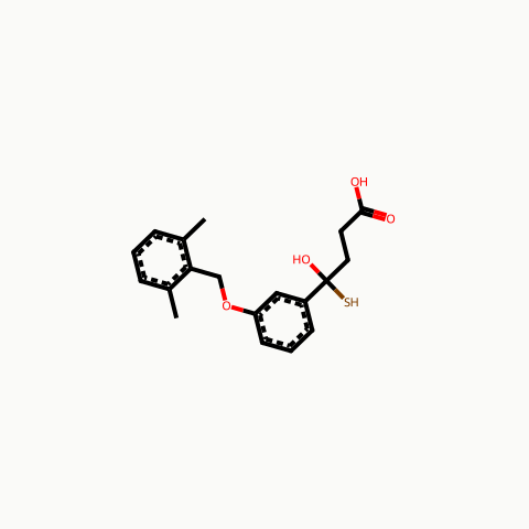 Cc1cccc(C)c1COc1cccc(C(O)(S)CCC(=O)O)c1